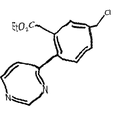 CCOC(=O)c1cc(Cl)ccc1-c1ccncn1